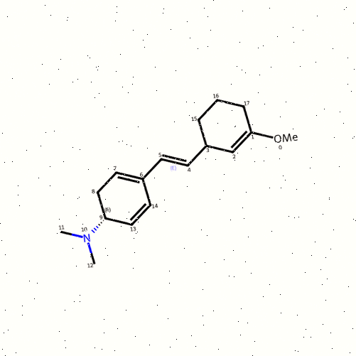 COC1=CC(/C=C/C2=CC[C@@H](N(C)C)C=C2)CCC1